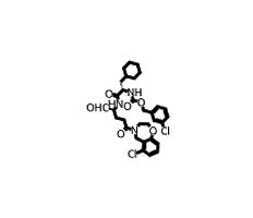 O=C[C@H](CCC(=O)N1CCOc2cccc(Cl)c2C1)NC(=O)[C@H](CC1CCCCC1)NC(=O)OCc1cccc(Cl)c1